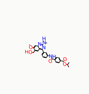 CNc1nc(-c2cccc(NC(=O)c3ccc(C(=O)OC(C)C)cc3)c2)c2cc(CO)c(OC)cc2n1